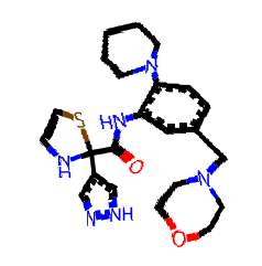 O=C(Nc1cc(CN2CCOCC2)ccc1N1CCCCC1)C1(c2cn[nH]c2)NC=CS1